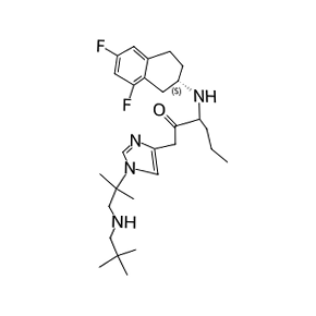 CCCC(N[C@H]1CCc2cc(F)cc(F)c2C1)C(=O)Cc1cn(C(C)(C)CNCC(C)(C)C)cn1